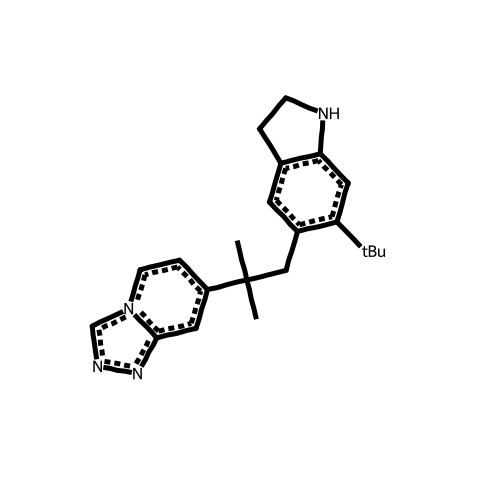 CC(C)(C)c1cc2c(cc1CC(C)(C)c1ccn3cnnc3c1)CCN2